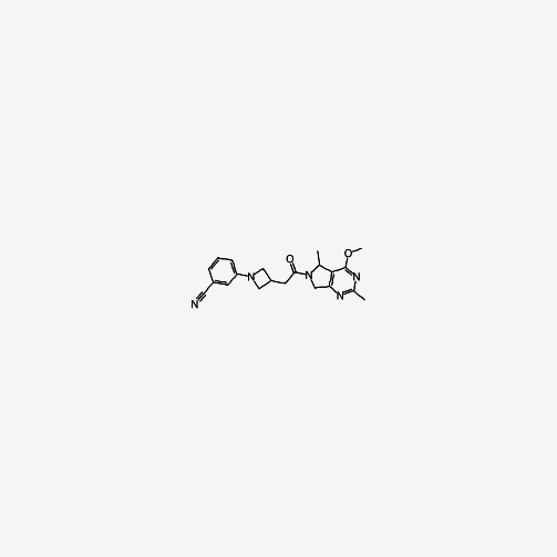 COc1nc(C)nc2c1C(C)N(C(=O)CC1CN(c3cccc(C#N)c3)C1)C2